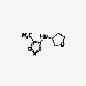 Cc1oncc1NC1CCOC1